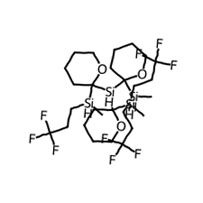 C[SiH](CCC(F)(F)F)C1([SiH](C2([SiH](C)CCC(F)(F)F)CCCCO2)C2([SiH](C)CCC(F)(F)F)CCCCO2)CCCCO1